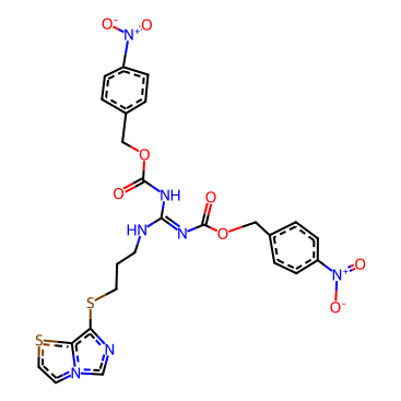 O=C(N=C(NCCCSc1ncn2ccsc12)NC(=O)OCc1ccc([N+](=O)[O-])cc1)OCc1ccc([N+](=O)[O-])cc1